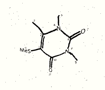 CSc1c(C)n(C)c(=O)n(C)c1=O